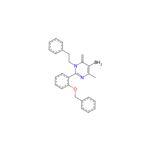 BC1=C(C)N=C(c2ccccc2OCc2ccccc2)N(CCc2ccccc2)C1=C